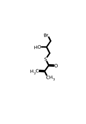 C=C(C)C(=O)SCC(O)CBr